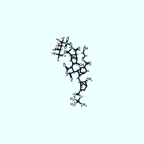 CC1C2CC(C(=O)OC(C)(C)C)C(C2)C1CC1C2CC(C(=O)OCCO)C(C2)C1C1C(=O)OC(=O)C1C1C(C)C2CC1C1C(=O)N(OS(=O)(=O)C(F)(F)C(F)(F)C(F)(F)C(F)(F)F)C(=O)C21